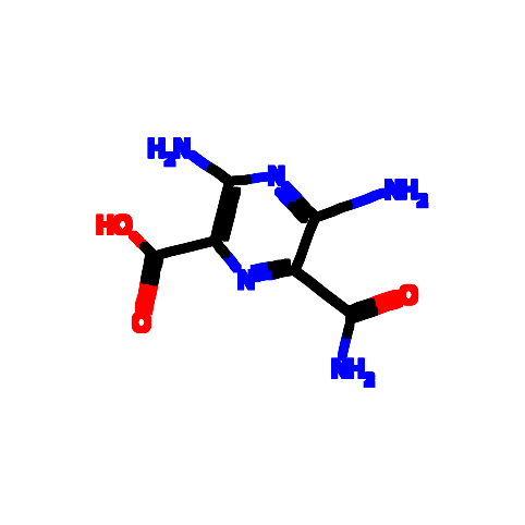 NC(=O)c1nc(C(=O)O)c(N)nc1N